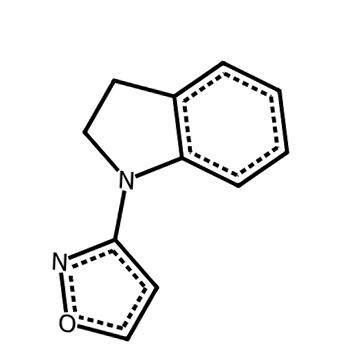 c1ccc2c(c1)CCN2c1ccon1